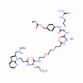 C=NC(=O)OCc1ccc(NC(=O)[C@H](CCCNC(N)=O)NC(=O)[C@@H](NC(=O)CCOCCOCCNC(=O)[C@H](CCC(=O)O)NC(=O)CCn2c(CN(C)NC)cc3cccnc32)C(C)C)cc1